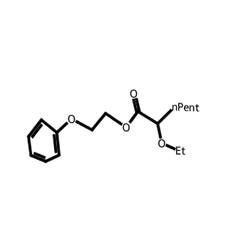 CCCCCC(OCC)C(=O)OCCOc1ccccc1